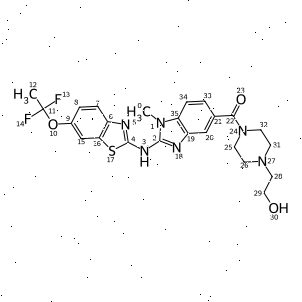 Cn1c(Nc2nc3ccc(OC(C)(F)F)cc3s2)nc2cc(C(=O)N3CCN(CCO)CC3)ccc21